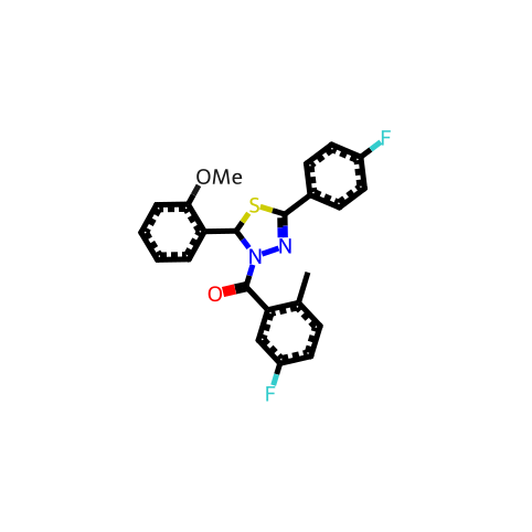 COc1ccccc1C1SC(c2ccc(F)cc2)=NN1C(=O)c1cc(F)ccc1C